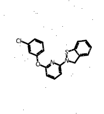 Clc1cccc(Oc2cccc(N3Cc4ccccc4S3)n2)c1